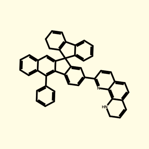 C1=CC2=C(CC1)C1(c3ccccc32)c2cc(-c3ccc4ccc5c(c4n3)NCC=C5)ccc2-c2c1cc1ccccc1c2-c1ccccc1